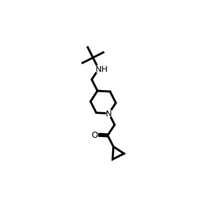 CC(C)(C)NCC1CCN(CC(=O)C2CC2)CC1